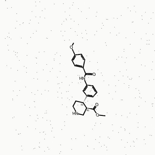 COC(=O)[C@H]1CNCC[C@@H]1c1cccc(NC(=O)c2ccc(OC)cc2)c1